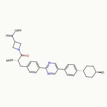 C=C(OC)C1CN(C(=O)[C@H](Cc2ccc(-c3ncc(-c4ccc([C@H]5CC[C@H](CC)CC5)cc4)cn3)cc2)NC)C1